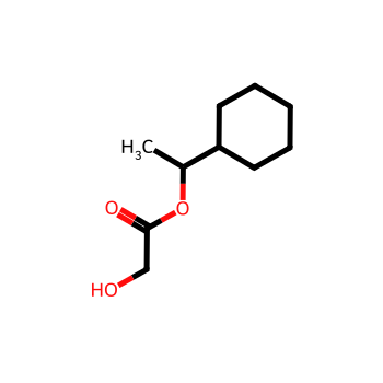 CC(OC(=O)CO)C1CCCCC1